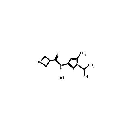 Cc1cc(NC(=O)C2CNC2)nn1C(C)C.Cl